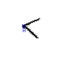 CCCCCCCCCCCCCCCc1nc[nH]c1CCCCCCCCCCCCCCC